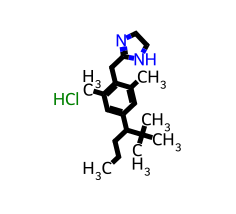 CCCC(c1cc(C)c(CC2=NCCN2)c(C)c1)C(C)(C)C.Cl